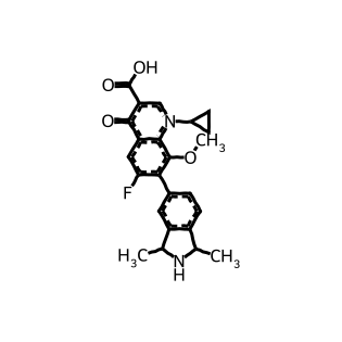 COc1c(-c2ccc3c(c2)C(C)NC3C)c(F)cc2c(=O)c(C(=O)O)cn(C3CC3)c12